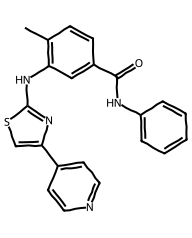 Cc1ccc(C(=O)Nc2ccccc2)cc1Nc1nc(-c2ccncc2)cs1